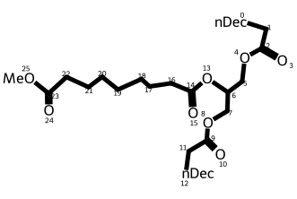 CCCCCCCCCCCC(=O)OCC(COC(=O)CCCCCCCCCCC)OC(=O)CCCCCCCC(=O)OC